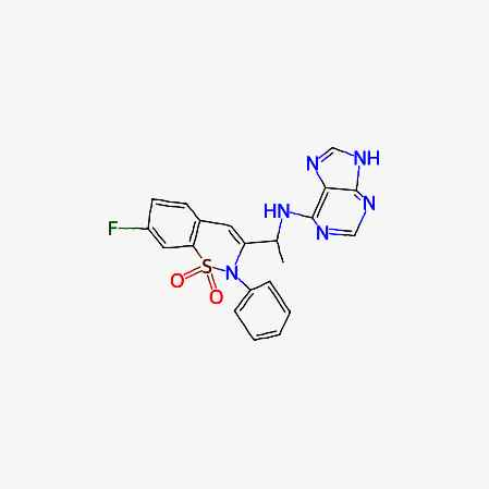 CC(Nc1ncnc2[nH]cnc12)C1=Cc2ccc(F)cc2S(=O)(=O)N1c1ccccc1